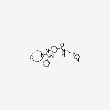 O=C(NCCCn1ccnc1)c1ccc2nc(N3CCCCOCCCC3)c(-c3ccccc3)nc2c1